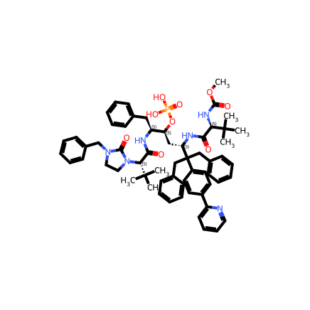 COC(=O)N[C@H](C(=O)N[C@@H](C[C@H](OP(=O)(O)O)[C@H](Cc1ccccc1)NC(=O)[C@@H](N1CCN(Cc2ccccc2)C1=O)C(C)(C)C)C(Cc1ccccc1)(Cc1ccccc1)c1ccc(-c2ccccn2)cc1)C(C)(C)C